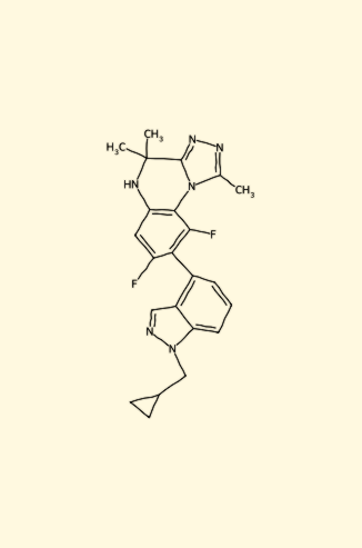 Cc1nnc2n1-c1c(cc(F)c(-c3cccc4c3cnn4CC3CC3)c1F)NC2(C)C